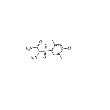 Cc1cc(S(=O)(=O)C(N)C(N)=O)c(C)cc1Cl